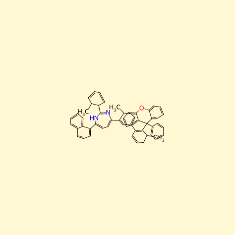 CC1CC=C(C2=C(C3(c4ccccc4)c4ccccc4Oc4ccccc43)C(C)CC=C2)C=C1C1=CC=C(c2cccc3ccccc23)NC(C2C=CC=CC2C)=N1